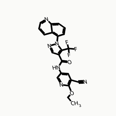 CCOc1ncc(NC(=O)c2cnn(-c3cccc4ncccc34)c2C(F)(F)F)cc1C#N